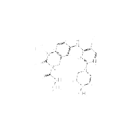 CNC(=O)N1Cc2cc(Nc3nc(N4CCN(C)CC4)ncc3Cl)ccc2N(C)C1=O